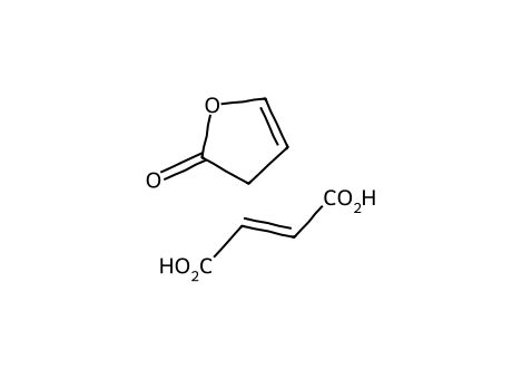 O=C(O)/C=C/C(=O)O.O=C1CC=CO1